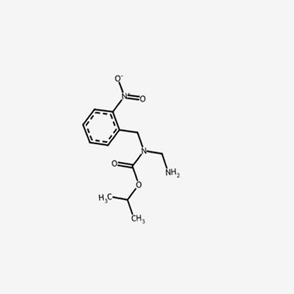 CC(C)OC(=O)N(CN)Cc1ccccc1[N+](=O)[O-]